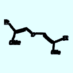 CCC(=COC=C(CC)OC)OC